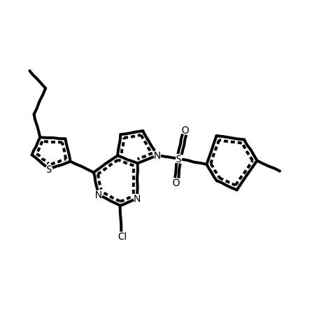 CCCc1csc(-c2nc(Cl)nc3c2ccn3S(=O)(=O)c2ccc(C)cc2)c1